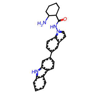 NC1CCCCC1C(=O)Nn1ccc2cc(-c3ccc4c(c3)[nH]c3ccccc34)ccc21